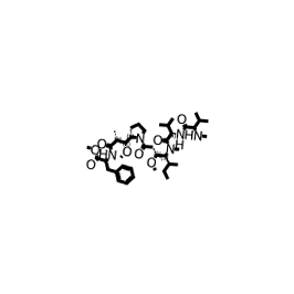 CCC(C)[C@@H]([C@@H](CC(=O)N1CCC[C@H]1[C@H](OC)[C@@H](C)C(=O)NC(Cc1ccccc1)C(=O)OC)OC)N(C)C(=O)[C@@H](NC(=O)C(NC)C(C)C)C(C)C